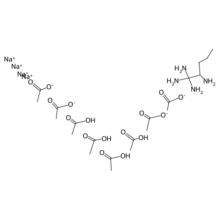 CC(=O)O.CC(=O)O.CC(=O)O.CC(=O)O.CC(=O)[O-].CC(=O)[O-].CC(=O)[O-].CC(=O)[O-].CCCC(N)C(N)(N)N.[Na+].[Na+].[Na+].[Na+]